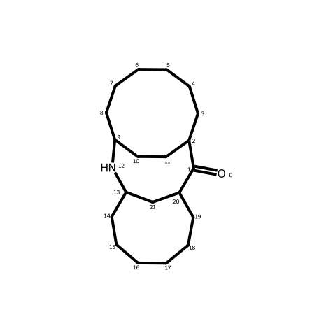 O=C1C2CCCCCCC(CC2)NC2CCCCCCC1C2